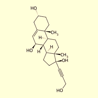 C[C@]12CC[C@@H](O)CC1=C[C@H](O)[C@@H]1[C@@H]2CC[C@@]2(C)[C@H]1CC[C@@]2(O)C#CCO